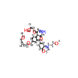 COCCCN1CCOc2ccc(CO[C@H]3CNC[C@@H](OC[C@@H](C)O)C3c3ccc(COCC4CC4COC)cc3)cc21